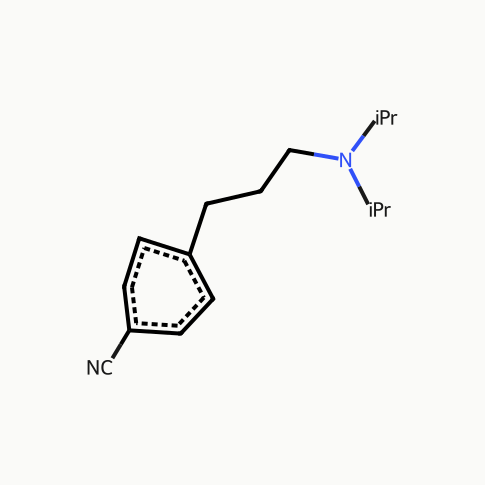 CC(C)N(CCCc1ccc(C#N)cc1)C(C)C